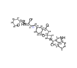 CC(c1c[nH]c2ccccc12)N1CC2(CC(=O)c3cc(/C=C/C(=O)NOC4CCCCO4)ccc3O2)C1